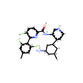 Cc1cc(F)c(-c2nc(C(=O)Nc3cnccc3C3CC(C)[CH]C(N)C3)ccc2F)c(F)c1